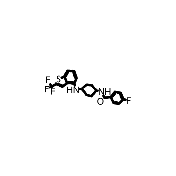 O=C(NC1CCC(Nc2cccc3sc(C(F)(F)F)cc23)CC1)c1ccc(F)cc1